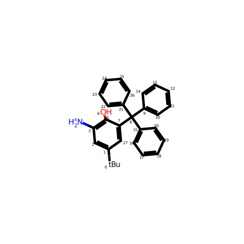 CC(C)(C)c1cc(N)c(O)c(C(c2ccccc2)(c2ccccc2)c2ccccc2)c1